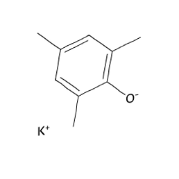 Cc1cc(C)c([O-])c(C)c1.[K+]